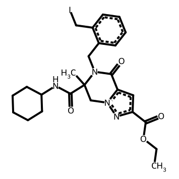 CCOC(=O)c1cc2n(n1)CC(C)(C(=O)NC1CCCCC1)N(Cc1ccccc1CI)C2=O